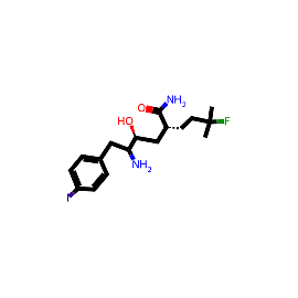 CC(C)(F)CC[C@H](C[C@H](O)C(N)Cc1ccc(I)cc1)C(N)=O